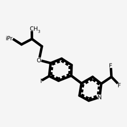 CC(C)CC(C)COc1ccc(-c2ccnc(C(F)F)c2)cc1I